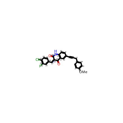 COc1ccc(CC#Cc2ccc3c(c2)C(=O)/C(=C/c2ccc(Cl)c(F)c2)C(=O)N3)cc1